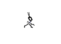 CCC[CH2][Sn]([CH2]CCC)([CH2]CCC)/[C](F)=C/c1ccc(C#N)cc1